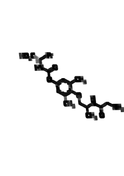 Cc1cc(OC(=O)N[C@H](C(=O)O)C(C)C)cc(C)c1OCC(C)NC(=O)CN